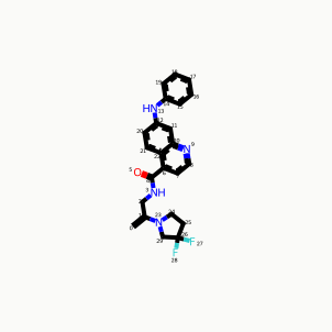 C=C(CNC(=O)c1ccnc2cc(Nc3ccccc3)ccc12)N1CCC(F)(F)C1